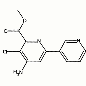 COC(=O)c1nc(-c2cccnc2)cc(N)c1Cl